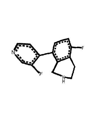 Fc1cnccc1-c1ccc(F)c2c1CNCC2